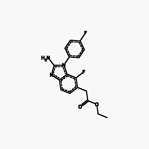 CCOC(=O)Cc1ccc2nc(N)n(-c3ccc(F)cc3)c2c1F